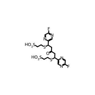 O=C(CC(SCCS(=O)(=O)O)c1cnc(F)cn1)CC(SCCS(=O)(=O)O)c1cnc(F)cn1